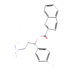 CN(C)CCC(OC(=O)c1ccc2ccccc2c1)c1ccc(Cl)cc1.Cl